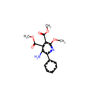 COC(=O)c1c(OC)nc(-c2ccccc2)c(N)c1C(=O)OC